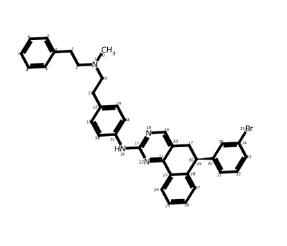 CN(CCc1ccccc1)CCc1ccc(Nc2ncc3c(n2)-c2ccccc2[C@H](c2cccc(Br)c2)C3)cc1